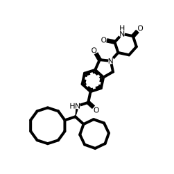 O=C1CCC(N2Cc3cc(C(=O)N[C@H](C4CCCCCCCCC4)C4CCCCCCC4)ccc3C2=O)C(=O)N1